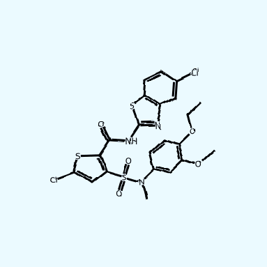 CCOc1ccc(N(C)S(=O)(=O)c2cc(Cl)sc2C(=O)Nc2nc3cc(Cl)ccc3s2)cc1OC